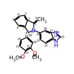 C=C1c2ccccc2[C@@H](c2ccc(OC)c(OC)c2)N1c1ccc2[nH]cnc2c1